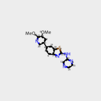 COc1cc(-c2ccc3nc(Nc4cnccn4)sc3c2)cnc1OC